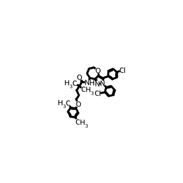 Cc1ccc(C)c(OCCCC(C)(C)C(=O)NC2CCCOc3c2nn(-c2ccccc2Cl)c3-c2ccc(Cl)cc2)c1